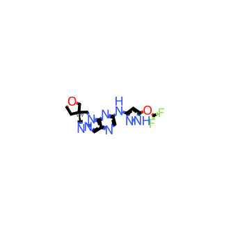 N#C[C@@]1(Cn2ncc3ncc(Nc4cc(OC(F)F)[nH]n4)nc32)CCOC1